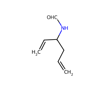 C=CC[C](C=C)NC=O